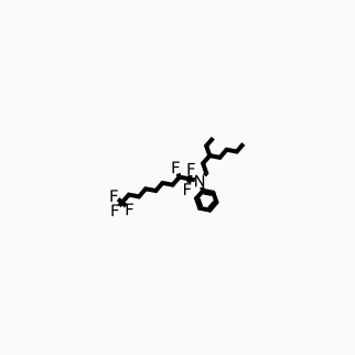 CCCCC(CC)CCN(c1ccccc1)C(F)(F)C(F)CCCCCCC(F)(F)F